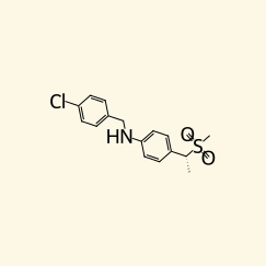 C[C@H](c1ccc(NCc2ccc(Cl)cc2)cc1)S(C)(=O)=O